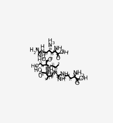 CCC(C)C(N)C(=O)O.CCCNC(CCO)C(=O)O.N.N=C(N)NCCCC(N)C(=O)O.N=C(N)NCCCC(N)C(=O)O